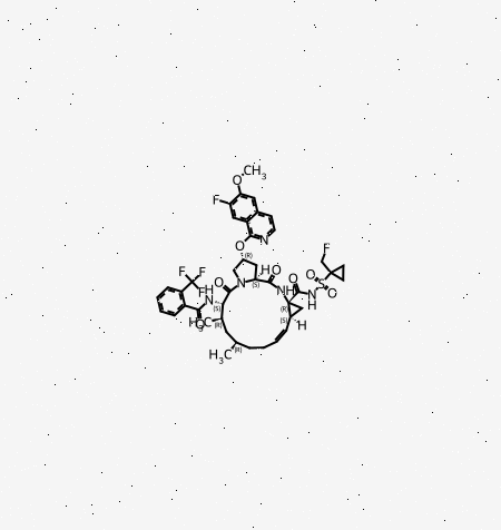 COc1cc2ccnc(O[C@@H]3C[C@H]4C(=O)N[C@]5(C(=O)NS(=O)(=O)C6(CF)CC6)C[C@H]5C=CCC[C@@H](C)C[C@@H](C)[C@H](NC(=O)c5ccccc5C(F)(F)F)C(=O)N4C3)c2cc1F